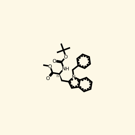 COC(=O)[C@H](Cc1cc2ccccc2n1Cc1ccccc1)NC(=O)OC(C)(C)C